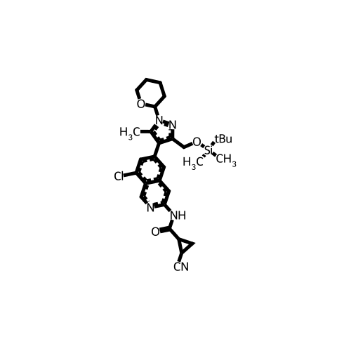 Cc1c(-c2cc(Cl)c3cnc(NC(=O)C4CC4C#N)cc3c2)c(CO[Si](C)(C)C(C)(C)C)nn1C1CCCCO1